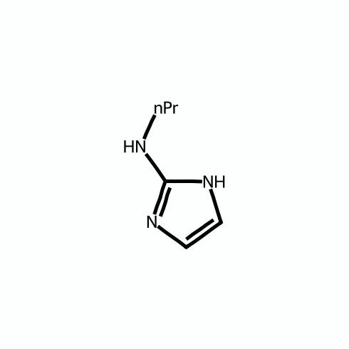 CCCNc1ncc[nH]1